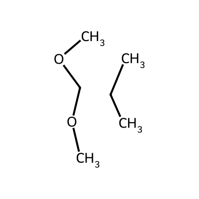 CCC.COCOC